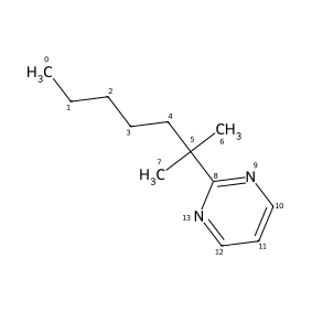 CCCCCC(C)(C)c1ncccn1